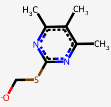 Cc1nc(SC[O])nc(C)c1C